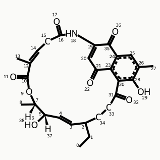 CCC1/C=C/[C@H](O)[C@H](C)OC(=O)/C(C)=C\CC(=O)NC2=CC(=O)c3c(cc(C)c(O)c3C(=O)CC1)C2=O